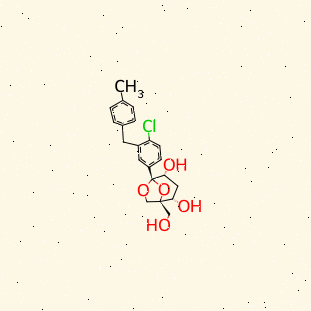 Cc1ccc(Cc2cc([C@]34OC[C@](CO)(O3)[C@@H](O)C[C@H]4O)ccc2Cl)cc1